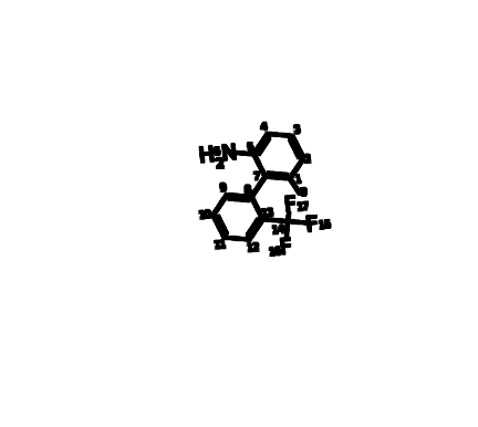 Cc1cccc(N)c1-c1ccccc1C(F)(F)F